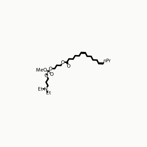 CCC/C=C\CCCC/C=C\CCCCC(=O)OCCCOP(=O)(OC)OCCCN(CC)CC